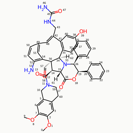 COc1cc2c(cc1OC)CN(C(=O)[C@@H]1[C@H]3C(=O)O[C@H](c4ccccc4)[C@H](c4ccccc4)N3[C@@H]3c4ccc(O)cc4/C(CNC(N)=O)=C/c4ccc(N)c(c4)[C@]13C=O)CC2